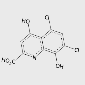 O=C(O)c1cc(O)c2c(Cl)cc(Cl)c(O)c2n1